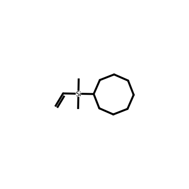 C=C[Si](C)(C)C1CCCCCCC1